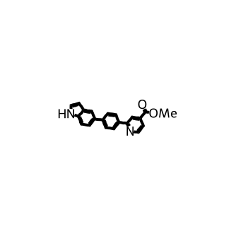 COC(=O)c1ccnc(-c2ccc(-c3ccc4[nH]ccc4c3)cc2)c1